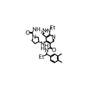 CCC(NC(=O)c1cnc2c(cnn2CC)c1N[C@H]1CCN(C(N)=O)C1)c1ccc(C)c(C)c1